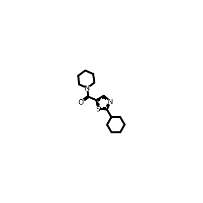 O=C(c1cnc(C2CCCCC2)s1)N1CCCCC1